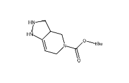 CC(C)(C)OC(=O)N1CC=C2NNCC2C1